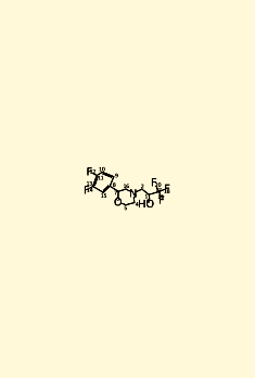 OC(CN1CCOC(c2ccc(F)c(F)c2)C1)C(F)(F)F